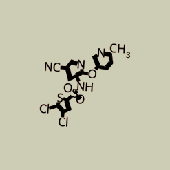 Cc1ccc(Oc2ncc(C#N)cc2NS(=O)(=O)c2cc(Cl)c(Cl)s2)cn1